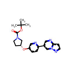 CC(C)(C)OC(=O)N1CC[C@@H](Oc2ccc(-c3cnc4ccnn4c3)nc2)C1